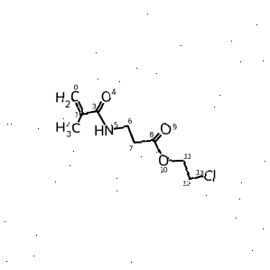 C=C(C)C(=O)NCCC(=O)OCCCl